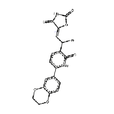 CC(C)C(/C=C1\OC(=O)NC1=O)c1ccc(-c2ccc3c(c2)OCCO3)[nH]c1=O